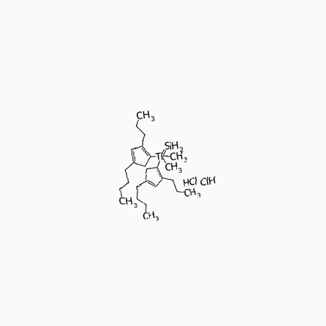 CCCCC1=CC(CCC)=[C]([Ti]([CH3])([CH3])(=[SiH2])[C]2=C(CCC)C=C(CCCC)C2)C1.Cl.Cl